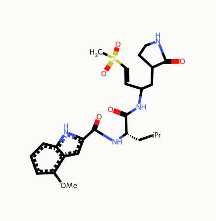 COc1cccc2[nH]c(C(=O)N[C@@H](CC(C)C)C(=O)NC(/C=C/S(C)(=O)=O)CC3CCNC3=O)cc12